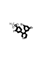 CS(=O)(=O)c1ccc(-c2cnccc2-c2cc(Br)cc(Br)c2)cc1F